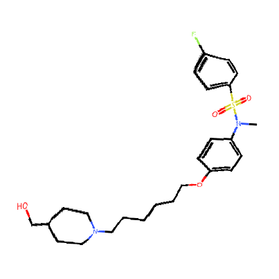 CN(c1ccc(OCCCCCCN2CCC(CO)CC2)cc1)S(=O)(=O)c1ccc(F)cc1